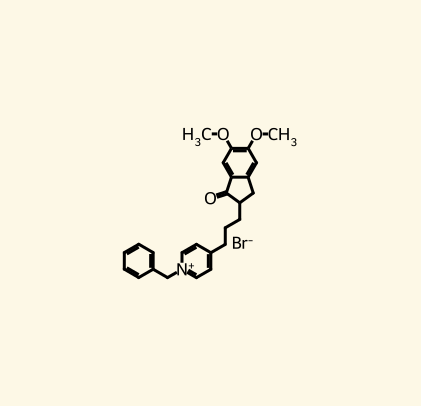 COc1cc2c(cc1OC)C(=O)C(CCCc1cc[n+](Cc3ccccc3)cc1)C2.[Br-]